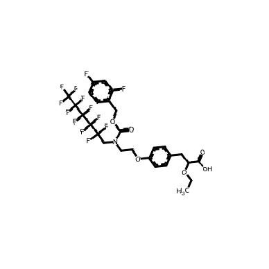 CCOC(Cc1ccc(OCCN(CC(F)(F)C(F)(F)C(F)(F)C(F)(F)C(F)(F)F)C(=O)OCc2ccc(F)cc2F)cc1)C(=O)O